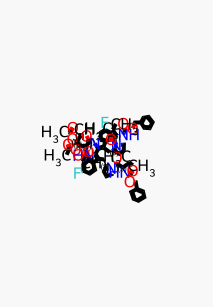 CC(=O)O[C@@H]1[C@H](OC(C)=O)[C@H](C)O[C@H](n2c(-c3[nH]c4cc(F)ccc4c3C[C@@H]3CCCN3C(=O)[C@@H](NC(=O)OCc3ccccc3)C(C)C)c(C[C@@H]3CCCN3C(=O)[C@@H](NC(=O)OCc3ccccc3)C(C)C)c3ccc(F)cc32)[C@H]1OC(C)=O